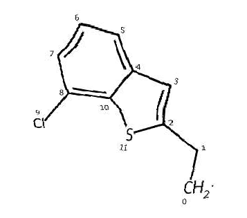 [CH2]Cc1cc2cccc(Cl)c2s1